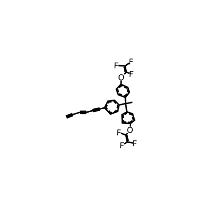 C#CC#CC#Cc1ccc(C(C)(c2ccc(OC(F)=C(F)F)cc2)c2ccc(OC(F)=C(F)F)cc2)cc1